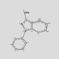 CSc1nn(-c2ccccc2)c2ccccc12